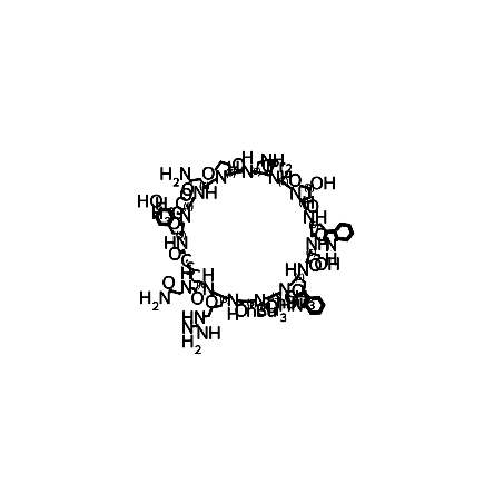 CCCC[C@H]1C(=O)N(C)[C@@H](CCCC)C(=O)N[C@@H](CCCNC(=N)N)C(=O)N[C@H](C(=O)NCC(N)=O)CSCC(=O)N[C@@H](Cc2ccc(O)cc2)C(=O)N(C)[C@@H](C)C(=O)N[C@@H](CC(N)=O)C(=O)N2CCC[C@H]2C(=O)N[C@@H](CN)C(=O)N[C@@H](CC(C)C)C(=O)N2C[C@H](O)C[C@H]2C(=O)N[C@@H](Cc2c[nH]c3ccccc23)C(=O)N[C@@H](CO)C(=O)N[C@@H](Cc2c[nH]c3ccccc23)C(=O)N1C